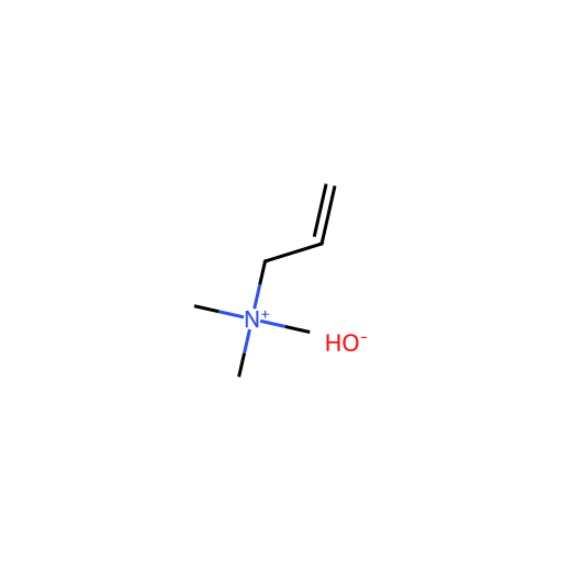 C=CC[N+](C)(C)C.[OH-]